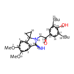 COc1cc2c(cc1OC)C1(CC1)N(CC(=O)c1cc(C(C)(C)C)c(O)c(C(C)(C)C)c1)C2=N